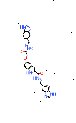 O=C(COc1ccc2[nH]c(C(=O)N/N=C/c3ccc4[nH]cnc4c3)cc2c1)N/N=C/c1ccc2[nH]cnc2c1